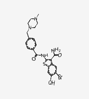 CN1CCN(Cc2ccc(C(=O)Nc3sc4cc(O)c(Br)cc4c3C(N)=O)cc2)CC1